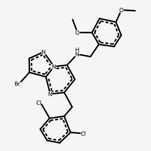 COc1ccc(CNc2cc(Cc3c(Cl)cccc3Cl)nc3c(Br)cnn23)c(OC)c1